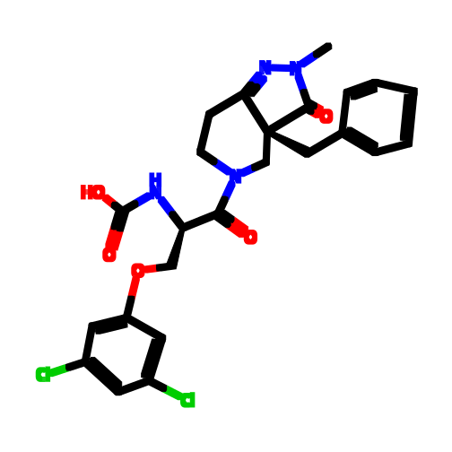 CN1N=C2CCN(C(=O)[C@@H](COc3cc(Cl)cc(Cl)c3)NC(=O)O)C[C@@]2(Cc2ccccc2)C1=O